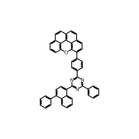 c1ccc(-c2nc(-c3ccc(-c4ccc5ccc6ccc7cccc8c7c6c5c4O8)cc3)nc(-c3ccc(-c4ccccc4)c4ccccc34)n2)cc1